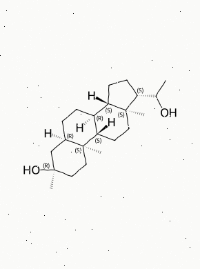 CC(O)[C@H]1CC[C@H]2[C@@H]3CC[C@@H]4C[C@](C)(O)CC[C@]4(C)[C@H]3CC[C@]12C